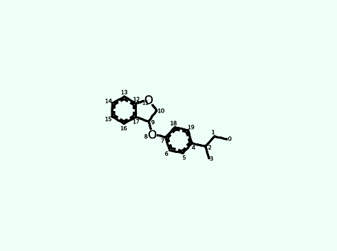 CCC(C)c1ccc(OC2COc3ccccc32)cc1